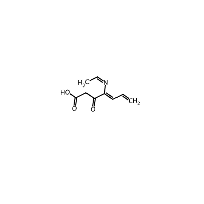 C=C/C=C(\N=C/C)C(=O)CC(=O)O